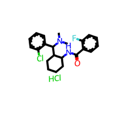 CN(C)C(c1ccccc1Cl)C1CCCCC1NC(=O)c1ccccc1F.Cl